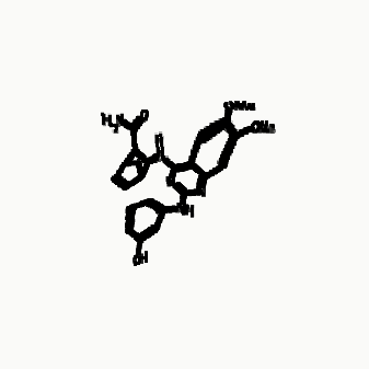 COc1cc2nc(Nc3cccc(O)c3)nc(NC3C4C=CC(C4)C3C(N)=O)c2cc1OC